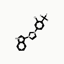 FC(F)(F)c1ccc(N2C=CN(c3c[nH]c4ccccc34)C2)cc1Cl